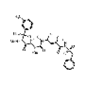 CN[C@@H](C(=O)N[C@H](C(=O)N(C)[C@H](/C=C(\C)C(=O)NS(=O)(=O)Cc1ccccc1)C(C)C)C(C)(C)C)C(C)(C)c1cccc(C)c1